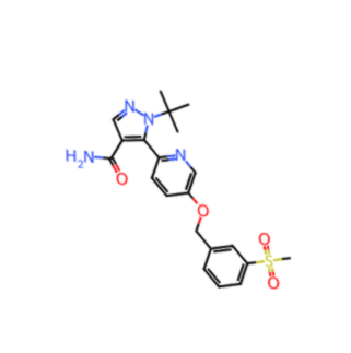 CC(C)(C)n1ncc(C(N)=O)c1-c1ccc(OCc2cccc(S(C)(=O)=O)c2)cn1